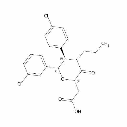 CCCN1C(=O)[C@H](CC(=O)O)O[C@H](c2cccc(Cl)c2)[C@H]1c1ccc(Cl)cc1